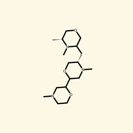 C[C@@H]1COCC(C[C@H]2COC(C3CN(C)CCO3)CN2C)N1C